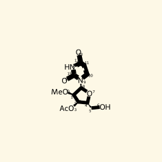 CO[C@@H]1[C@H](OC(C)=O)[C@@H](CO)O[C@H]1n1ccc(=O)[nH]c1=O